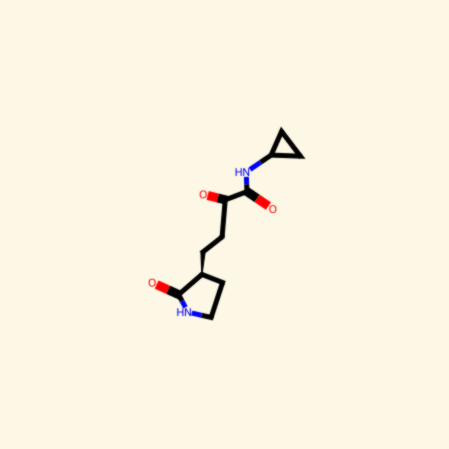 O=C(CC[C@H]1CCNC1=O)C(=O)NC1CC1